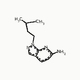 CC(C)CCn1ncc2ccc(N)nc21